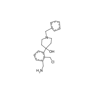 NCc1cccc(C2(O)CCN(Cc3ccccc3)CC2)c1CCl